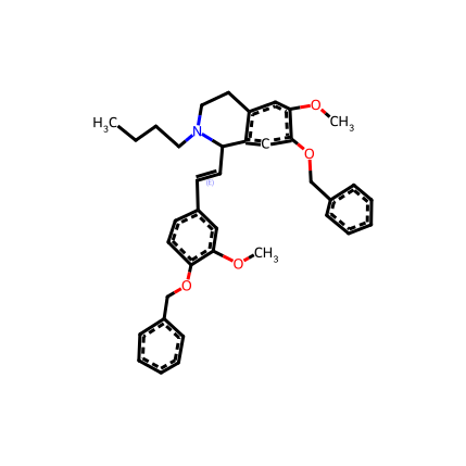 CCCCN1CCc2cc(OC)c(OCc3ccccc3)cc2C1/C=C/c1ccc(OCc2ccccc2)c(OC)c1